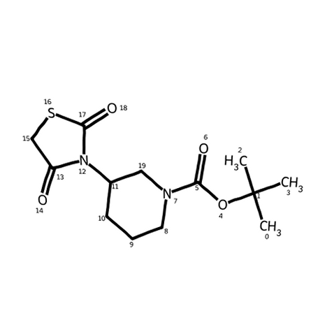 CC(C)(C)OC(=O)N1CCCC(N2C(=O)CSC2=O)C1